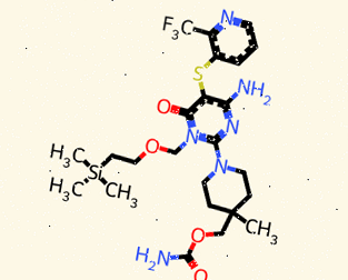 CC1(COC(N)=O)CCN(c2nc(N)c(Sc3cccnc3C(F)(F)F)c(=O)n2COCC[Si](C)(C)C)CC1